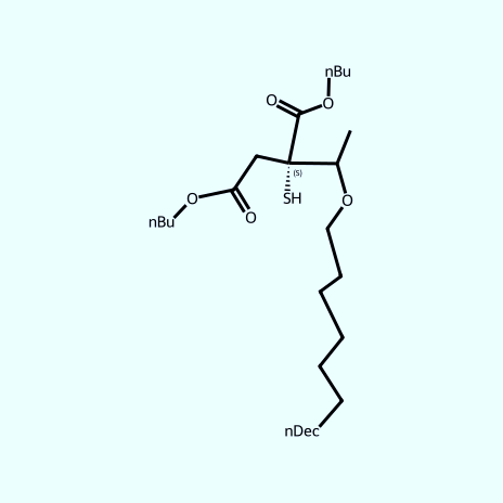 CCCCCCCCCCCCCCCCOC(C)[C@@](S)(CC(=O)OCCCC)C(=O)OCCCC